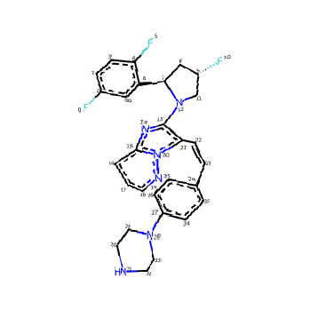 Fc1ccc(F)c([C@H]2C[C@H](F)CN2c2nc3cccnn3c2/C=C\c2ccc(N3CCNCC3)cc2)c1